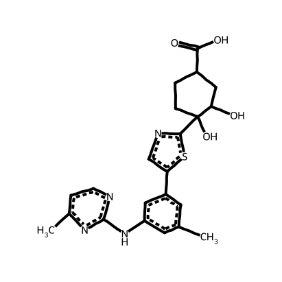 Cc1cc(Nc2nccc(C)n2)cc(-c2cnc(C3(O)CCC(C(=O)O)CC3O)s2)c1